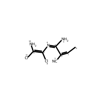 C\C=C(C#N)/C(N)=N\C(Cl)=C(/N)Cl